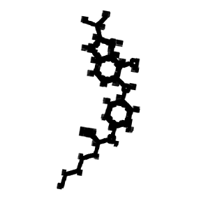 CCCCC[C@@H](S)Oc1ccc(Oc2ccc3nc(C(C)C)sc3c2Cl)cn1